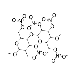 COC1OC(CO[N+](=O)[O-])C(OC2OC(CO[N+](=O)[O-])C(OC)C(O[N+](=O)[O-])C2O[N+](=O)[O-])C(O[N+](=O)[O-])C1C